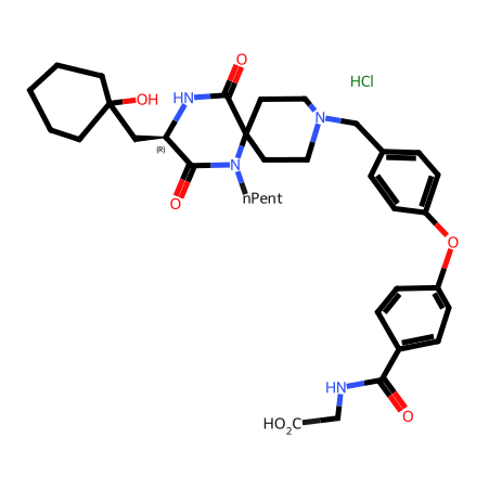 CCCCCN1C(=O)[C@@H](CC2(O)CCCCC2)NC(=O)C12CCN(Cc1ccc(Oc3ccc(C(=O)NCC(=O)O)cc3)cc1)CC2.Cl